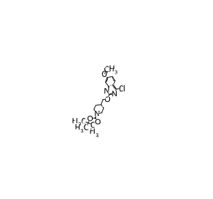 COc1ccc2c(Cl)nc(OCC3CCN(C(=O)OC(C)(C)C)CC3)nc2c1